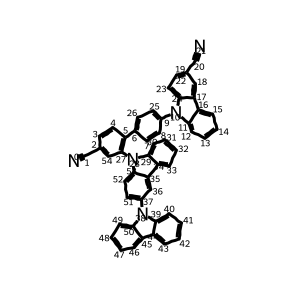 N#Cc1ccc(-c2ccc(-n3c4ccccc4c4cc(C#N)ccc43)cc2)c(-n2c3ccccc3c3cc(-n4c5ccccc5c5ccccc54)ccc32)c1